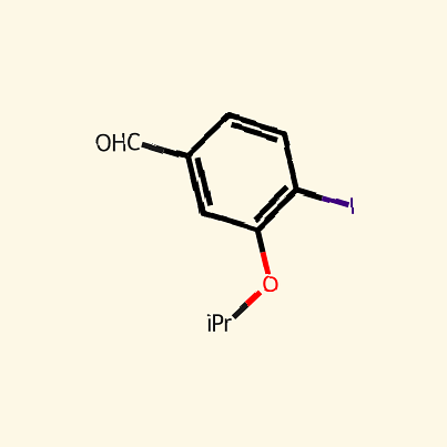 CC(C)Oc1cc(C=O)ccc1I